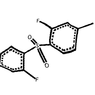 Cc1ccc(S(=O)(=O)c2ccccc2F)c(F)c1